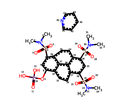 CN(C)S(=O)(=O)c1cc(OP(=O)(O)O)c2ccc3c(S(=O)(=O)N(C)C)cc(S(=O)(=O)N(C)C)c4ccc1c2c34.c1ccncc1